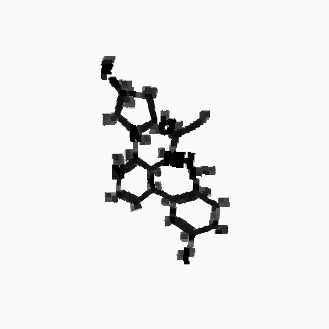 CC(=O)Nc1c(-c2cc(F)ccc2F)ccnc1N1CC[C@H](F)C1